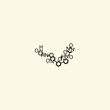 COc1nc(-c2cccc(-c3cccc(NC(=O)c4cn(C)c(=O)n(C)c4=O)c3F)c2Cl)cc2c1[C@@H](NC[C@@H]1CCC(=O)N1)CC2